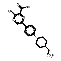 NC(=O)c1nc(-c2ccc([C@H]3CC[C@H](CC(=O)O)CC3)cc2)cnc1N